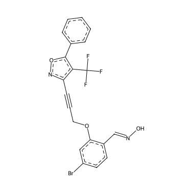 O/N=C/c1ccc(Br)cc1OCC#Cc1noc(-c2ccccc2)c1C(F)(F)F